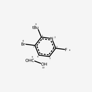 CC(C)(C)c1nc(F)ccc1Br.O=CO